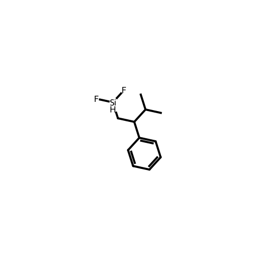 CC(C)C(C[SiH](F)F)c1ccccc1